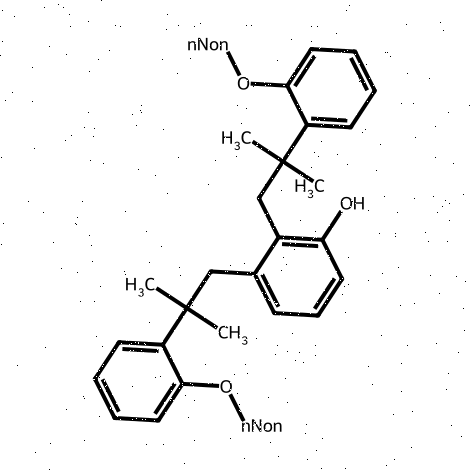 CCCCCCCCCOc1ccccc1C(C)(C)Cc1cccc(O)c1CC(C)(C)c1ccccc1OCCCCCCCCC